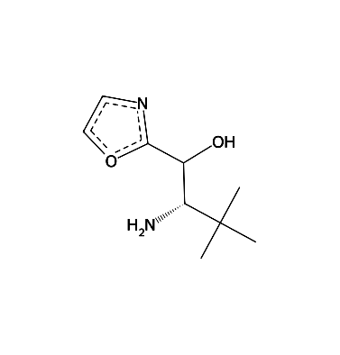 CC(C)(C)[C@H](N)C(O)c1ncco1